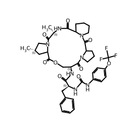 C[C@H]1CC2C(=O)OC[C@H](NC(=O)[C@H](Cc3ccccc3)NC(=O)Nc3ccc(OC(F)(F)F)cc3)C(=O)N3CCCC3C(=O)N3CCCCC3C(=O)N[C@@H](C)C(=O)N2C1